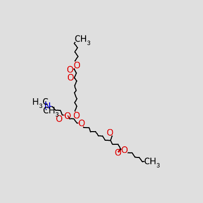 CCCCCCOC(=O)CCC(C=O)CCCCCCCOCC(COC(=O)CCCN(C)C)OCCCCCCCCC(=O)CC(=O)OCCCCCC